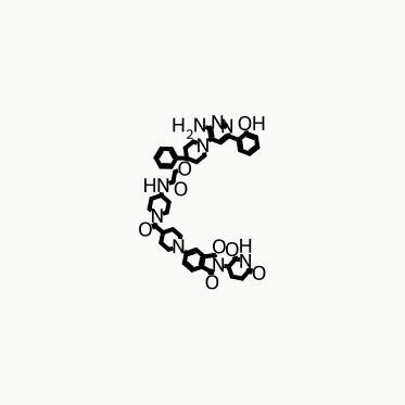 Nc1nnc(-c2ccccc2O)cc1N1CCC(OCC(=O)NC2CCN(C(=O)C3CCN(c4ccc5c(c4)C(=O)N(C4CCC(=O)NC4=O)C5=O)CC3)CC2)(c2ccccc2)CC1